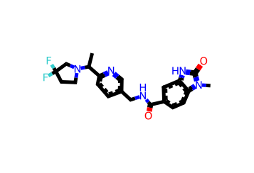 CC(c1ccc(CNC(=O)c2ccc3c(c2)[nH]c(=O)n3C)cn1)N1CCC(F)(F)C1